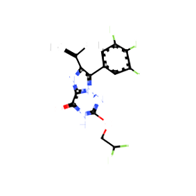 C=C(C)c1nc2c(=O)[nH]c(OCC(F)F)nn2c1-c1cc(F)c(F)c(F)c1